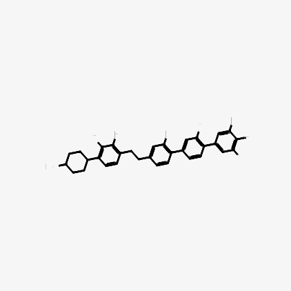 CC1CCC(c2ccc(CCc3ccc(-c4ccc(-c5cc(F)c(F)c(F)c5)c(F)c4)c(F)c3)c(F)c2F)CC1